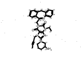 CC#CCn1c(N2CCCC(N)C2)nc2c1c(=O)n(CC1=Nc3ccccc3Cc3ccccc31)c(=O)n2CC